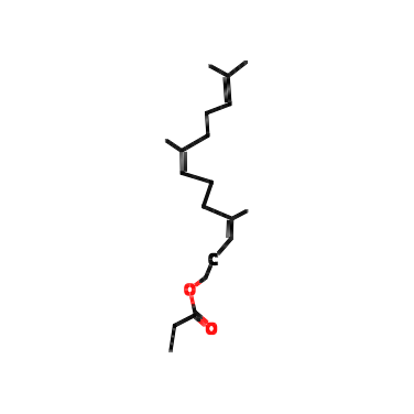 CCC(=O)OCCC=C(C)CCC=C(C)CCC=C(C)C